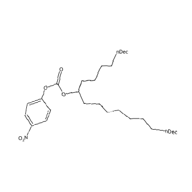 CCCCCCCCCCCCCCCCCC(CCCCCCCCCCCCCC)OC(=O)Oc1ccc([N+](=O)[O-])cc1